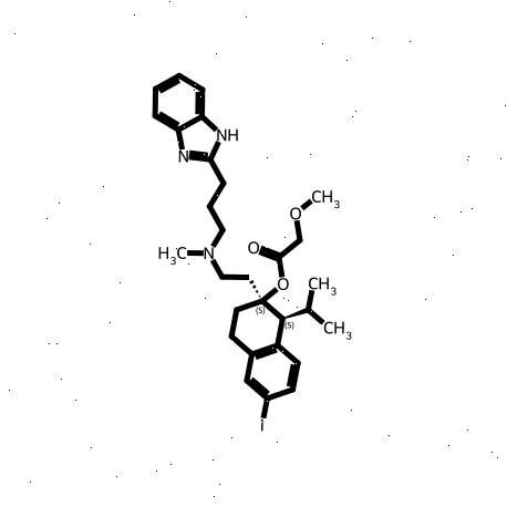 COCC(=O)O[C@]1(CCN(C)CCCc2nc3ccccc3[nH]2)CCc2cc(I)ccc2[C@@H]1C(C)C